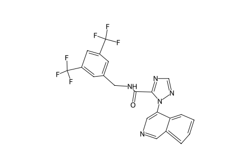 O=C(NCc1cc(C(F)(F)F)cc(C(F)(F)F)c1)c1ncnn1-c1cncc2ccccc12